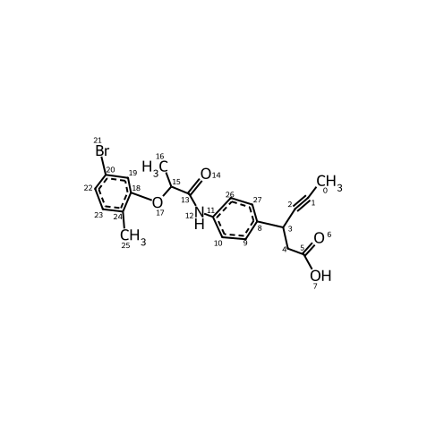 CC#CC(CC(=O)O)c1ccc(NC(=O)C(C)Oc2cc(Br)ccc2C)cc1